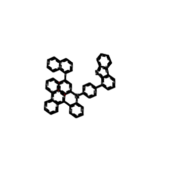 c1cc(-c2cccc3ccccc23)cc(N(c2ccc(-c3cccc4c3sc3ccccc34)cc2)c2ccccc2-c2cc3ccccc3c3ccccc23)c1